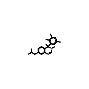 Cc1cc(C)c(C)c(C2(C)c3ccc(CC(C)C)cc3N=CN2C)c1